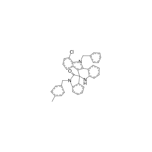 Cc1ccc(CN2C(=O)C3(Nc4ccccc4-c4c3c3cccc(Cl)c3n4Cc3ccccc3)c3ccccc32)cc1